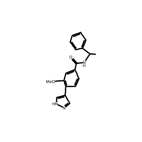 COc1cc(C(=O)NC(C)c2ccccc2)ccc1-c1cn[nH]c1